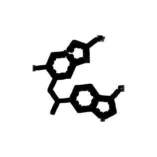 CC(C)c1cn2cc(I)c(CC(C)c3ccc4c(Cl)csc4c3)cc2n1